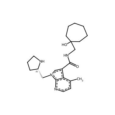 Cc1ccnc2c1c(C(=O)NCC1(O)CCCCCC1)cn2C[C@@H]1CCCN1